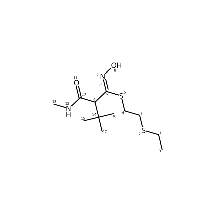 CCSCCS/C(=N\O)C(C(=O)NC)C(C)(C)C